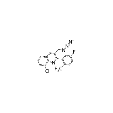 [N-]=[N+]=NCc1cc2cccc(Cl)c2nc1-c1cc(F)ccc1C(F)(F)F